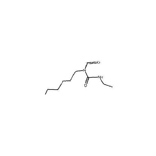 CCCCCCN([C]=O)C(=O)NCC